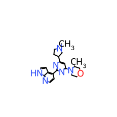 C[C@@H]1COCCN1c1cc(C2CCN(C)C2)nc(-c2ccnc3[nH]ccc23)n1